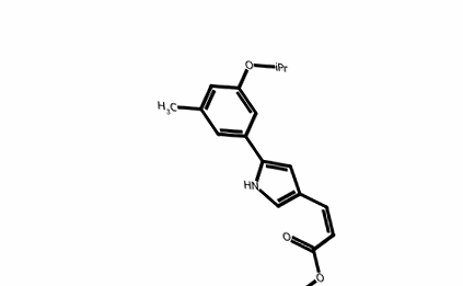 Cc1cc(OC(C)C)cc(-c2cc(/C=C\C(=O)OC(C)C)c[nH]2)c1